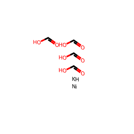 O=CO.O=CO.O=CO.O=CO.[KH].[Ni]